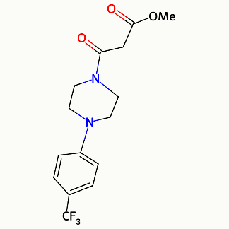 COC(=O)CC(=O)N1CCN(c2ccc(C(F)(F)F)cc2)CC1